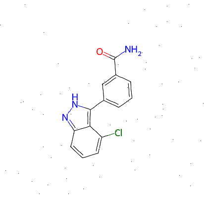 NC(=O)c1cccc(-c2[nH]nc3cccc(Cl)c23)c1